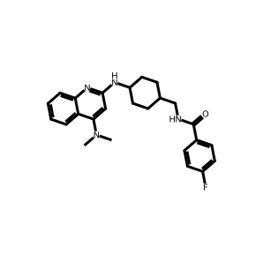 CN(C)c1cc(NC2CCC(CNC(=O)c3ccc(F)cc3)CC2)nc2ccccc12